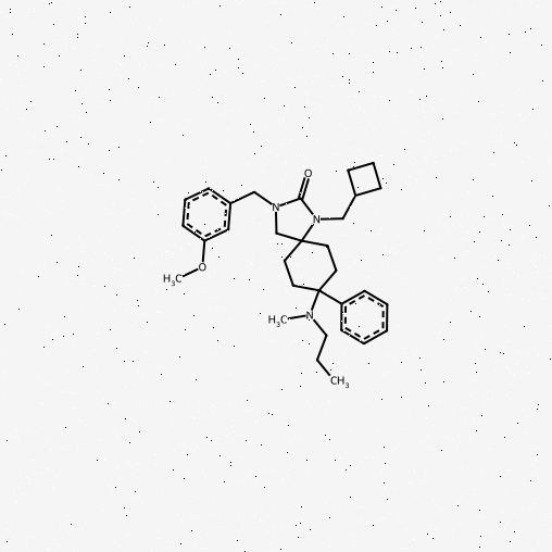 CCCN(C)C1(c2ccccc2)CCC2(CC1)CN(Cc1cccc(OC)c1)C(=O)N2CC1CCC1